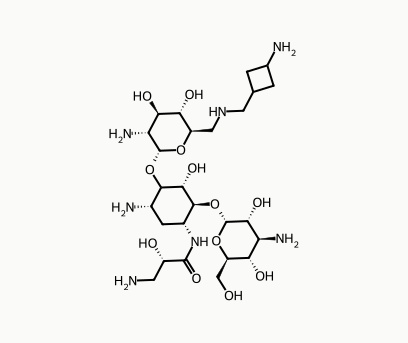 NC[C@H](O)C(=O)N[C@@H]1C[C@H](N)C(O[C@H]2O[C@H](CNCC3CC(N)C3)[C@@H](O)[C@H](O)[C@H]2N)[C@H](O)[C@H]1O[C@H]1O[C@H](CO)[C@@H](O)[C@H](N)[C@H]1O